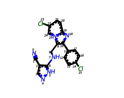 N#Cc1cn[nH]c1NCc1c(-c2ccc(Cl)cc2)nc2ccc(Cl)cn12